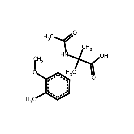 CC(=O)NC(C)(C)C(=O)O.COc1ccccc1C